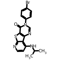 CC(C)Nc1ccnc2sc3c(=O)n(-c4ccc(Br)cc4)cnc3c12